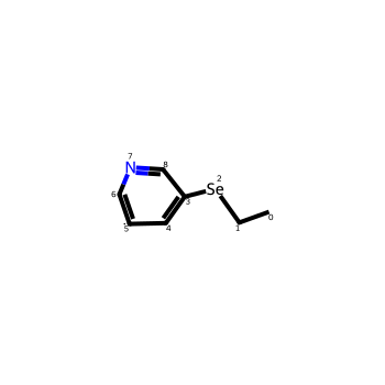 CC[Se]c1c[c]cnc1